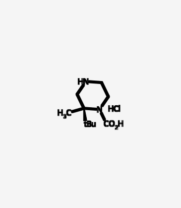 CC(C)(C)[C@@]1(C)CNCCN1C(=O)O.Cl